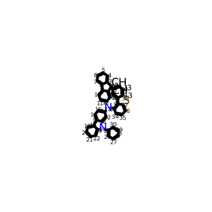 CC1(C)c2ccccc2-c2ccc(N(c3ccc4c5ccccc5n(-c5ccccc5)c4c3)c3cccc4sc5ccccc5c34)cc21